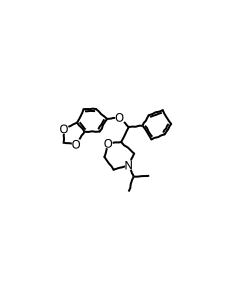 CC(C)N1CCOC(C(Oc2ccc3c(c2)OCO3)c2ccccc2)C1